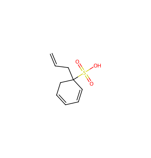 C=CCC1(S(=O)(=O)O)C=CC=CC1